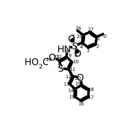 Cc1ccc(S(=O)(=O)Nc2cc(-c3cc4ccccc4o3)sc2OC(=O)O)c(C)c1